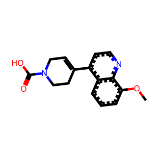 COc1cccc2c(C3=CCN(C(=O)O)CC3)ccnc12